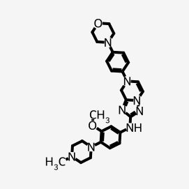 COc1cc(Nc2nc3n(n2)C=CN(c2ccc(N4CCOCC4)cc2)C3)ccc1N1CCN(C)CC1